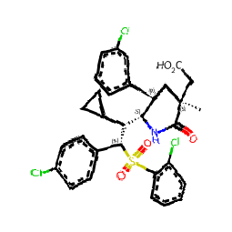 C[C@@]1(CC(=O)O)C[C@H](c2cccc(Cl)c2)[C@@H](C(C2CC2)[C@@H](c2ccc(Cl)cc2)S(=O)(=O)c2ccccc2Cl)NC1=O